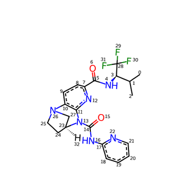 CC(C)[C@@H](NC(=O)c1ccc2c(n1)N(C(=O)Nc1ccccn1)[C@H]1CCN2C1)C(F)(F)F